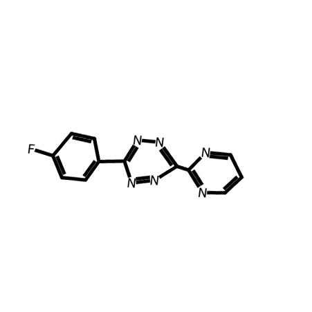 Fc1ccc(-c2nnc(-c3ncccn3)nn2)cc1